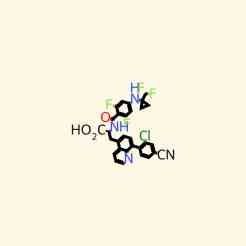 N#Cc1ccc(-c2ccc(C[C@H](NC(=O)c3c(F)cc(NC4(C(F)F)CC4)cc3F)C(=O)O)c3cccnc23)c(Cl)c1